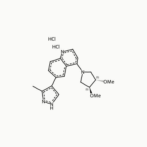 CO[C@H]1CN(c2ccnc3ccc(-c4c[nH]nc4C)cc23)C[C@@H]1OC.Cl.Cl